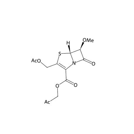 CO[C@H]1C(=O)N2C(C(=O)OCC(C)=O)=C(COC(C)=O)S[C@H]12